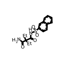 CCC(CC)(C(N)=O)C(=O)NS(=O)(=O)c1ccc2ccccc2c1